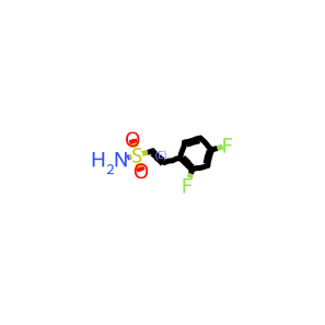 NS(=O)(=O)/C=C/c1ccc(F)cc1F